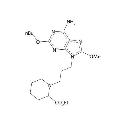 CCCCOc1nc(N)c2nc(OC)n(CCCN3CCCCC3C(=O)OCC)c2n1